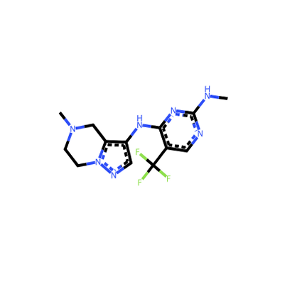 CNc1ncc(C(F)(F)F)c(Nc2cnn3c2CN(C)CC3)n1